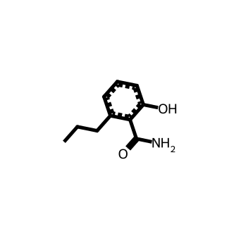 CCCc1cccc(O)c1C(N)=O